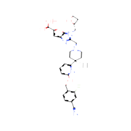 CC1(c2cccc(OCc3ccc(C#N)cc3F)n2)CCN(Cc2nc3cc(C(=O)O)oc3n2C[C@@H]2CCO2)CC1